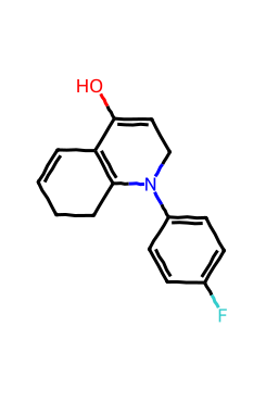 OC1=CCN(c2ccc(F)cc2)C2=C1C=CCC2